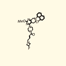 COc1nc2c(c(N3CCN(C(=O)/C=C/CN4CC(F)C4)CC3)n1)CCN(c1cccc3cccc(Cl)c13)C2